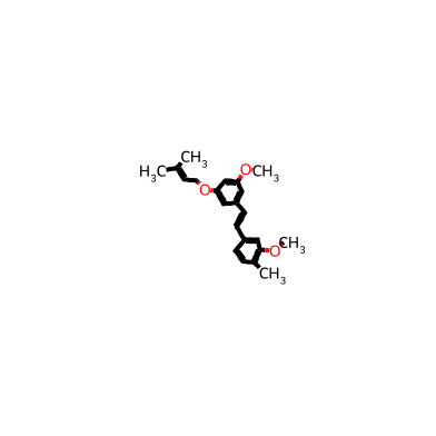 COc1cc(/C=C/c2ccc(C)c(OC)c2)cc(OCC=C(C)C)c1